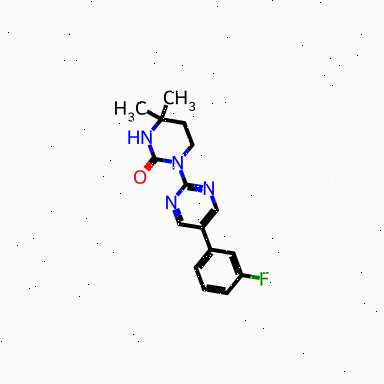 CC1(C)CCN(c2ncc(-c3cccc(F)c3)cn2)C(=O)N1